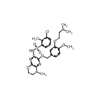 COc1ccc(COc2nc3c(nc2NS(=O)(=O)c2cccc(Cl)c2C)OCCN3C)cc1OCCN(C)C